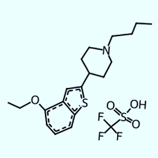 CCCCN1CCC(c2cc3c(OCC)cccc3s2)CC1.O=S(=O)(O)C(F)(F)F